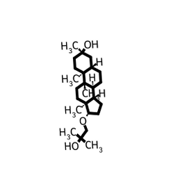 CC(C)(O)CO[C@H]1CC[C@H]2[C@@H]3CC[C@H]4C[C@@](C)(O)CC[C@]4(C)[C@@]3(C)CC[C@]12C